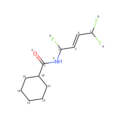 O=C(NC(F)C=CC(F)F)C1CCCCC1